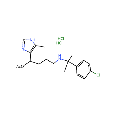 CC(=O)OC(CCCNC(C)(C)c1ccc(Cl)cc1)c1nc[nH]c1C.Cl.Cl